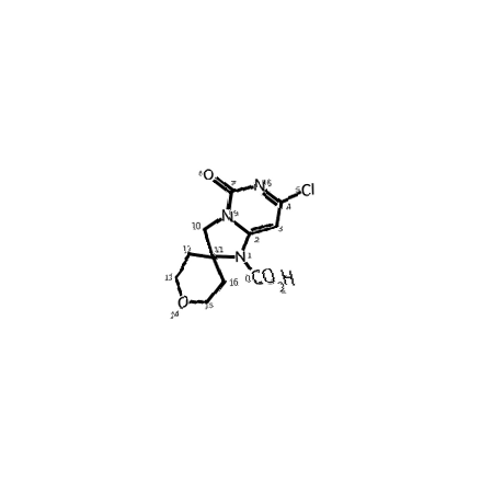 O=C(O)N1c2cc(Cl)nc(=O)n2CC12CCOCC2